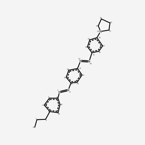 CCCc1ccc(N=Nc2ccc(N=Nc3ccc(N4CCCC4)cc3)cc2)cc1